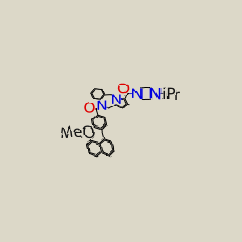 COc1cc(C(=O)N2Cc3ccc(C(=O)N4CCN(C(C)C)CC4)n3Cc3ccccc32)ccc1-c1cccc2ccccc12